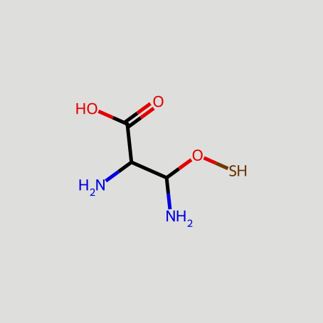 NC(OS)C(N)C(=O)O